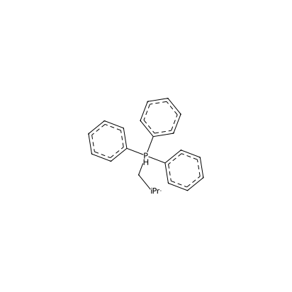 C[C](C)C[PH](c1ccccc1)(c1ccccc1)c1ccccc1